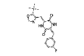 CC(C)(C)c1ocnc1C=c1[nH]c(=O)c(=Cc2cccc(F)c2)[nH]c1=O